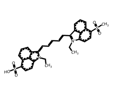 CCn1\c(=C/C=C/C=C/C2=[N+](CC)c3ccc(S(C)(=O)=O)c4cccc2c34)c2cccc3c(S(=O)(=O)O)ccc1c32